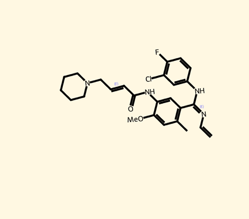 C=C/N=C(/Nc1ccc(F)c(Cl)c1)c1cc(NC(=O)/C=C/CN2CCCCC2)c(OC)cc1C